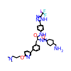 CN(C)CCCOc1ccc(-c2cccc(C[C@H](NC(=O)C3CCC(CN)CC3)C(=O)Nc3ccc(-c4nnc(C(F)(F)I)[nH]4)cc3)c2)cn1